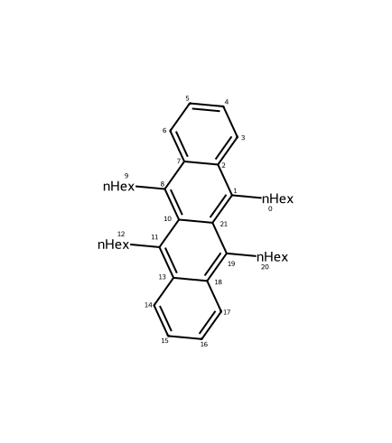 CCCCCCc1c2ccccc2c(CCCCCC)c2c(CCCCCC)c3ccccc3c(CCCCCC)c12